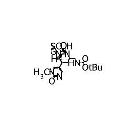 Cn1cc(C2=CC(CNC(=O)OC(C)(C)C)N3C[C@@H]2N(OS(=O)(=O)O)C3=O)cnc1=O